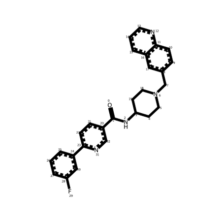 O=C(NC1CCN(Cc2ccc3ncccc3c2)CC1)c1ccc(-c2cccc(F)c2)nc1